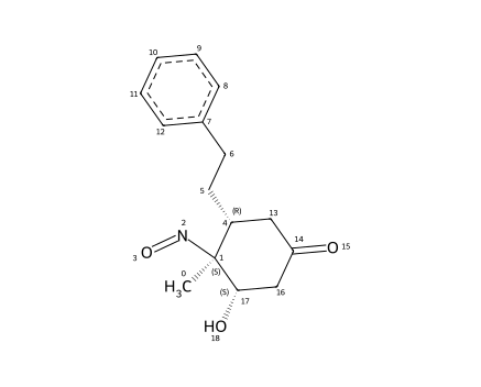 C[C@]1(N=O)[C@H](CCc2ccccc2)CC(=O)C[C@@H]1O